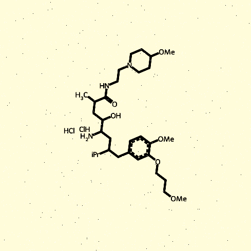 COCCCOc1cc(CC(CC(N)C(O)CC(C)C(=O)NCCN2CCC(OC)CC2)C(C)C)ccc1OC.Cl.Cl